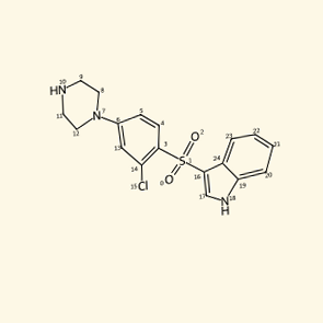 O=S(=O)(c1ccc(N2CCNCC2)cc1Cl)c1c[nH]c2ccccc12